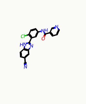 N#Cc1ccc2[nH]c(-c3cc(NC(=O)c4cccnc4)ccc3Cl)nc2c1